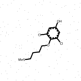 CSCCCCOc1c(Cl)cc(O)cc1Cl